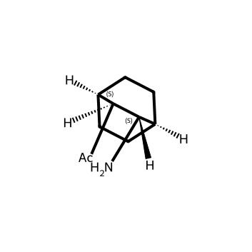 CC(=O)[C@H]1[C@H]2CC[C@H](CC2)[C@@H]1N